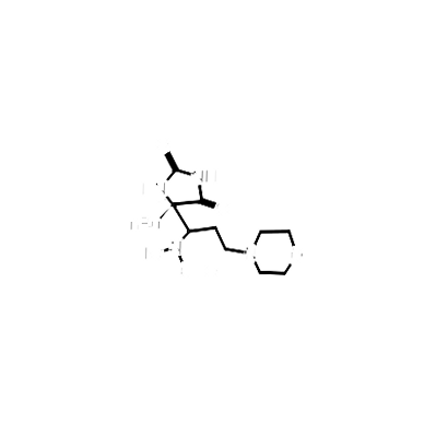 CCCC[C@@]1(C(CCN2CCOCC2)N(O)C=O)NC(=O)NC1=O